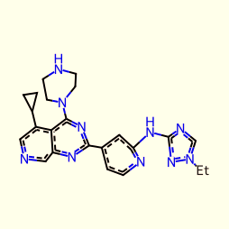 CCn1cnc(Nc2cc(-c3nc(N4CCNCC4)c4c(C5CC5)cncc4n3)ccn2)n1